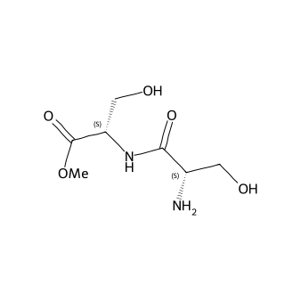 COC(=O)[C@H](CO)NC(=O)[C@@H](N)CO